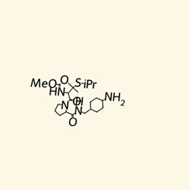 COC(=O)NC(C(=O)N1CCCC1C(=O)NCC1CCC(N)CC1)C(C)(C)SC(C)C